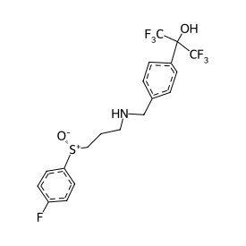 [O-][S@+](CCCNCc1ccc(C(O)(C(F)(F)F)C(F)(F)F)cc1)c1ccc(F)cc1